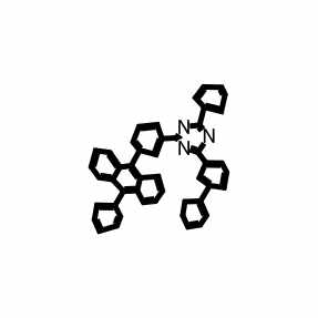 C1=CCCC(c2cccc(-c3nc(-c4ccccc4)nc(-c4cccc(-c5c6ccccc6c(-c6ccccc6)c6ccccc56)c4)n3)c2)=C1